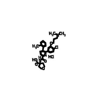 Cc1ccccc1-c1ccc(C(=O)NC2(C(=O)O)CCOCC2)nc1-c1ccc(Cl)c(OCCCN(C)C)c1.Cl